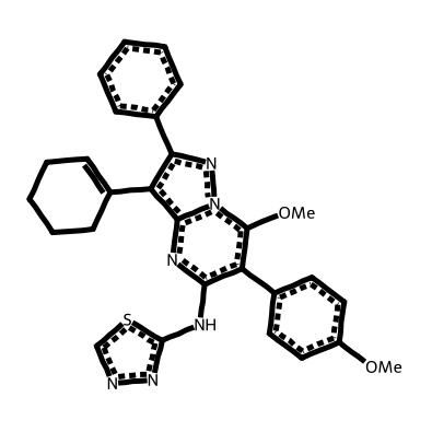 COc1ccc(-c2c(Nc3nncs3)nc3c(C4=CCCCC4)c(-c4ccccc4)nn3c2OC)cc1